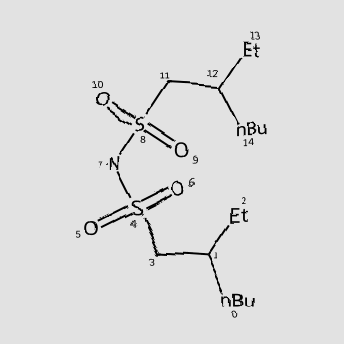 CCCCC(CC)CS(=O)(=O)[N]S(=O)(=O)CC(CC)CCCC